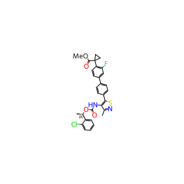 COC(=O)C1(c2ccc(-c3ccc(-c4snc(C)c4NC(=O)O[C@H](C)c4ccccc4Cl)cc3)cc2F)CC1